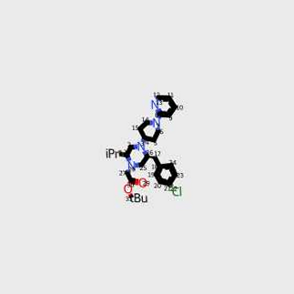 CC(C)C1CN(C2CCN(c3ccccn3)CC2)[C@@H](Cc2ccc(Cl)cc2)CN1CC(=O)OC(C)(C)C